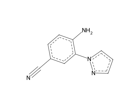 N#Cc1ccc(N)c(-n2cccn2)c1